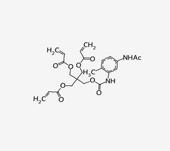 C=CC(=O)OCC(COC(=O)C=C)(COC(=O)C=C)COC(=O)Nc1cc(NC(C)=O)ccc1C